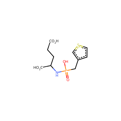 O=C(O)CCC(NP(=O)(O)Cc1ccsc1)C(=O)O